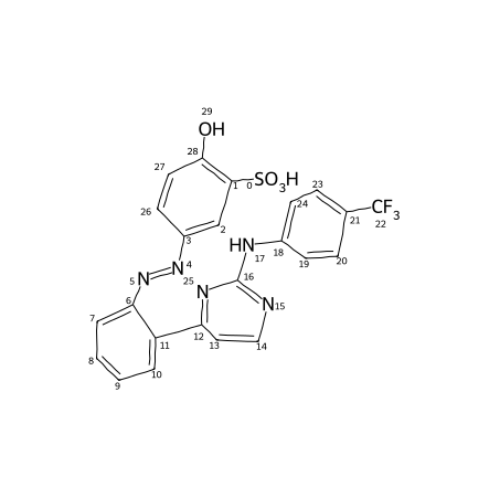 O=S(=O)(O)c1cc(N=Nc2ccccc2-c2ccnc(Nc3ccc(C(F)(F)F)cc3)n2)ccc1O